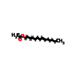 CCCCC/C=C/CCC/C=C/CCOC(C)=O